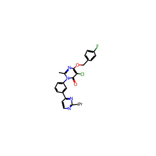 Cc1nc(OCc2ccc(F)cc2)c(Cl)c(=O)n1-c1cccc(-c2ccnc(C(C)C)n2)c1